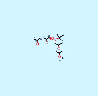 CC(C)(C)OO.CC(C)[O-].CC(C)[O-].CC(C)[O-].CC(C)[O-].[Ti+4]